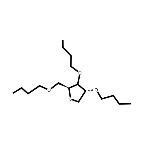 CCCCOC[C@@H]1SC[C@@H](OCCCC)C1OCCCC